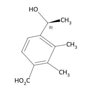 Cc1c(C(=O)O)ccc([C@H](C)O)c1C